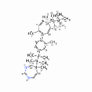 CC1=C(c2ccc(C(C)(C)C(C)(C)C3(C)C=CN=CN=C3)cc2C)C=CC(C)(C(C)(C)C(C)(C)C)C=C1